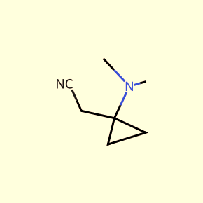 CN(C)C1(CC#N)CC1